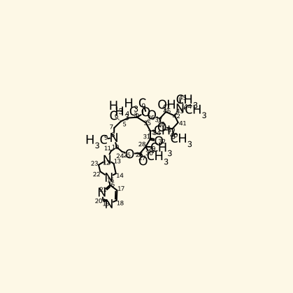 CO[C@]1(C)C[C@@H](C)CN(C)[C@H](CN2CCN(c3ccncn3)CC2)COC(=O)C(C)(C)C(=O)[C@H](C)[C@H]1O[C@@H]1O[C@H](C)C[C@H](N(C)C)[C@H]1O